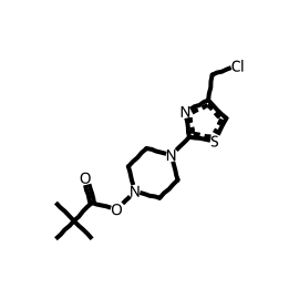 CC(C)(C)C(=O)ON1CCN(c2nc(CCl)cs2)CC1